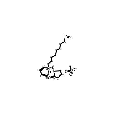 CCCCCCCCCCCCCCCCCC[N+]1(CN2CCCC2=O)C=CC=CO1.CS(=O)(=O)[O-]